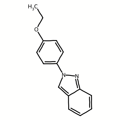 CCOc1ccc(-n2cc3ccccc3n2)cc1